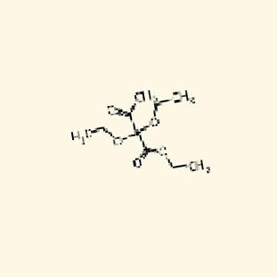 CCOC(=O)C(OCC)(OCC)C(C)=O